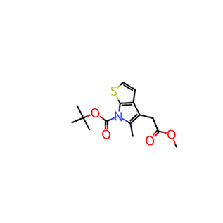 COC(=O)Cc1c(C)n(C(=O)OC(C)(C)C)c2sccc12